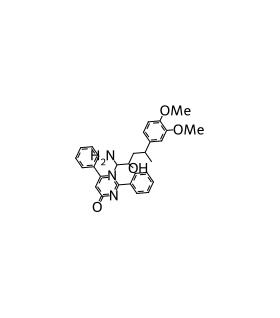 COc1ccc(C(C)CC(O)C(N)n2c(-c3ccccc3)cc(=O)nc2-c2ccccc2)cc1OC